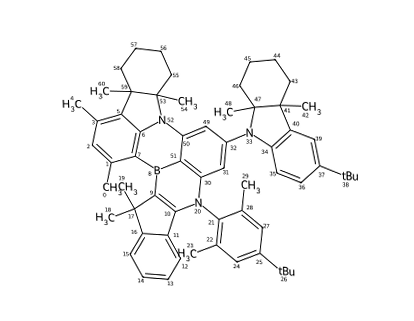 Cc1cc(C)c2c3c1B1C4=C(c5ccccc5C4(C)C)N(c4c(C)cc(C(C)(C)C)cc4C)c4cc(N5c6ccc(C(C)(C)C)cc6C6(C)CCCCC56C)cc(c41)N3C1(C)CCCCC21C